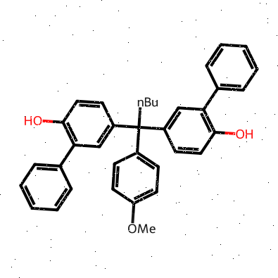 CCCCC(c1ccc(OC)cc1)(c1ccc(O)c(-c2ccccc2)c1)c1ccc(O)c(-c2ccccc2)c1